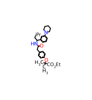 CCOC(=O)C(C)(C)Oc1ccc(CC(=O)NC(CC(C)C)c2cccc(N3CCCCC3)c2)cc1